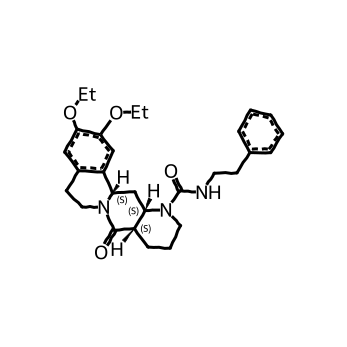 CCOc1cc2c(cc1OCC)[C@@H]1C[C@H]3[C@H](CCCN3C(=O)NCCc3ccccc3)C(=O)N1CC2